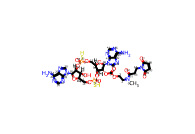 CN(CCOC(=O)O[C@@H]1[C@@H]2O[P@](=O)(S)OC[C@H]3O[C@@H](n4cnc5c(N)ncnc54)[C@H](O[P@](=O)(S)OC[C@H]2O[C@H]1n1cnc2c(N)ncnc21)[C@@H]3O)C(=O)CCN1C(=O)C=CC1=O